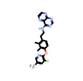 Cc1c(CCNc2ncnc3nccnc23)ccc(Oc2ncc(C(F)(F)F)cc2F)c1C